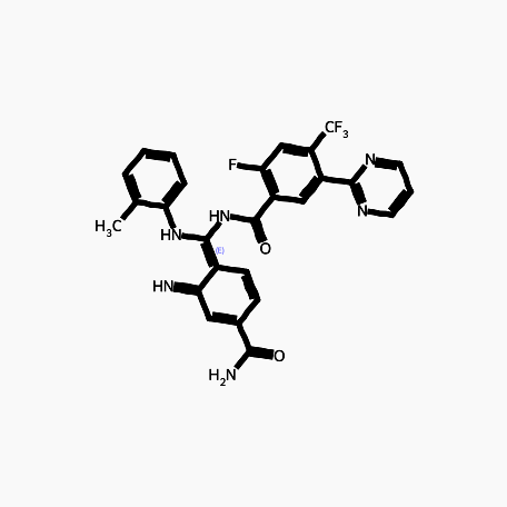 Cc1ccccc1N/C(NC(=O)c1cc(-c2ncccn2)c(C(F)(F)F)cc1F)=C1/C=CC(C(N)=O)=CC1=N